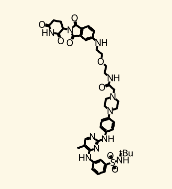 Cc1cnc(Nc2ccc(N3CCN(CC(=O)NCCOCCNc4ccc5c(c4)C(=O)N(C4CCC(=O)NC4=O)C5=O)CC3)cc2)nc1Nc1cccc(S(=O)(=O)NC(C)(C)C)c1